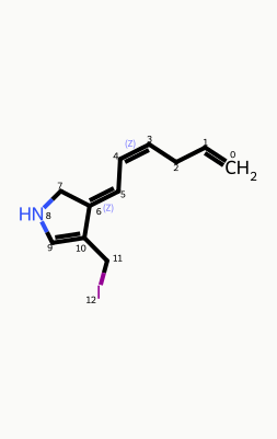 C=CC/C=C\C=C1/CNC=C1CI